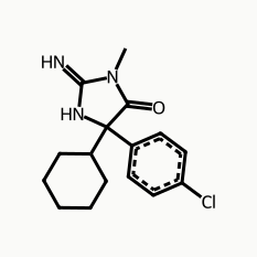 CN1C(=N)NC(c2ccc(Cl)cc2)(C2CCCCC2)C1=O